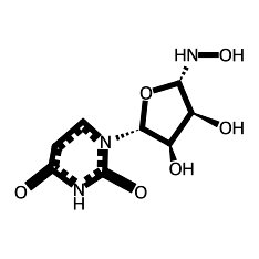 O=c1ccn([C@@H]2O[C@H](NO)[C@@H](O)[C@H]2O)c(=O)[nH]1